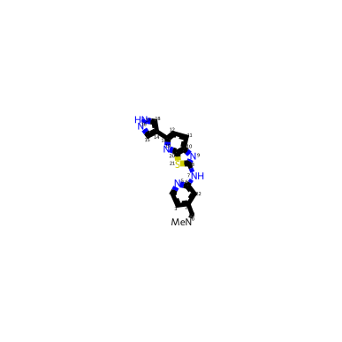 CNCc1ccnc(Nc2nc3ccc(-c4cn[nH]c4)nc3s2)c1